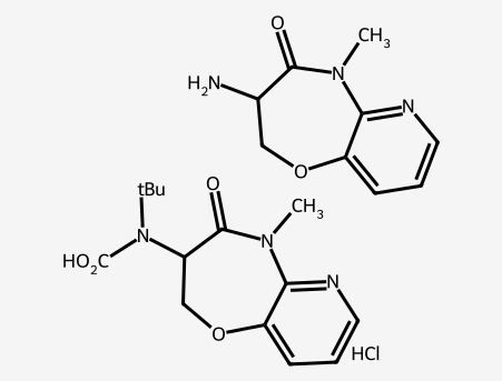 CN1C(=O)C(N(C(=O)O)C(C)(C)C)COc2cccnc21.CN1C(=O)C(N)COc2cccnc21.Cl